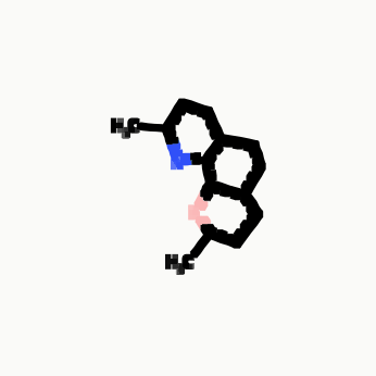 Cc1bc2c(cc1)ccc1ccc(C)nc12